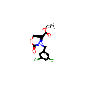 COC(=O)C1COC(=O)N1Cc1cc(Cl)cc(Cl)c1